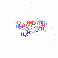 CN(C)c1cc(NC(=O)Nc2cccc(F)c2)c(O)c2c1CC1CC3[C@H](N(C)C)C(O)=C(C(N)=O)C(=O)[C@@]3(O)C(O)=C1C2=O